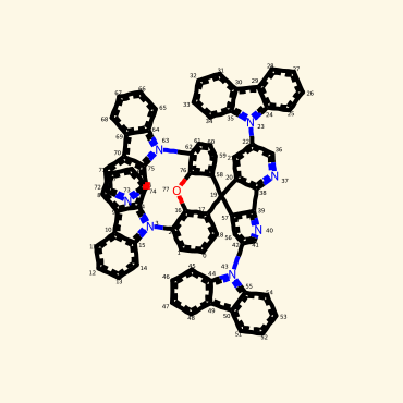 c1cc(-n2c3ccccc3c3ccccc32)c2c(c1)C1(c3cc(-n4c5ccccc5c5ccccc54)cnc3-c3ncc(-n4c5ccccc5c5ccccc54)cc31)c1cccc(-n3c4ccccc4c4ccncc43)c1O2